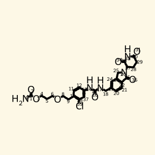 NC(=O)OCCCOCCc1ccc(NC(=O)NCc2ccc3c(c2)CN(C2CCC(=O)NC2=O)C3=O)cc1Cl